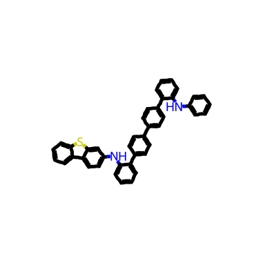 c1ccc(Nc2ccccc2-c2ccc(-c3ccc(-c4ccccc4Nc4ccc5c(c4)sc4ccccc45)cc3)cc2)cc1